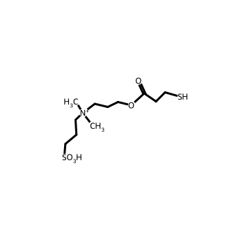 C[N+](C)(CCCOC(=O)CCS)CCCS(=O)(=O)O